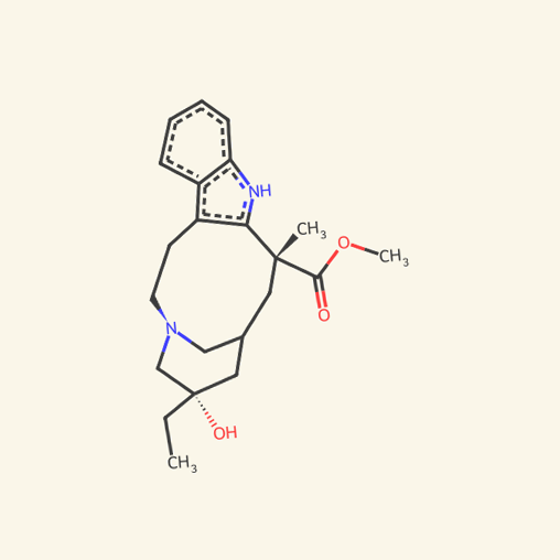 CC[C@]1(O)CC2C[N@](CCc3c([nH]c4ccccc34)[C@](C)(C(=O)OC)C2)C1